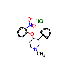 CN1CC[C@H](Oc2ccccc2[N+](=O)[O-])[C@@H](c2ccccc2)C1.Cl